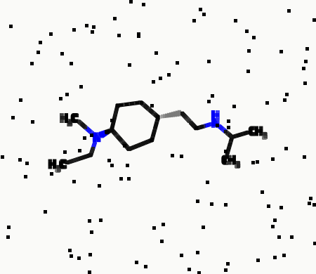 CCN(C)[C@H]1CC[C@H](CCNC(C)C)CC1